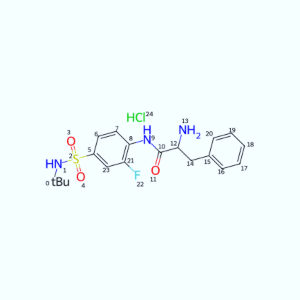 CC(C)(C)NS(=O)(=O)c1ccc(NC(=O)C(N)Cc2ccccc2)c(F)c1.Cl